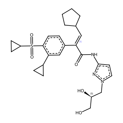 O=C(Nc1ccn(C[C@H](O)CO)n1)/C(=C/C1CCCC1)c1ccc(S(=O)(=O)C2CC2)c(C2CC2)c1